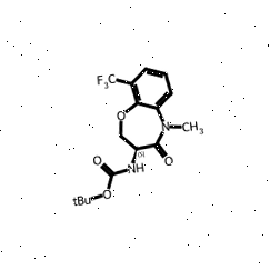 CN1C(=O)[C@@H](NC(=O)OC(C)(C)C)COc2c1cccc2C(F)(F)F